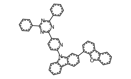 c1ccc(-c2nc(-c3ccccc3)nc(-c3ccc(-n4c5ccccc5c5ccc(-c6cccc7c6oc6ccccc67)cc54)nc3)n2)cc1